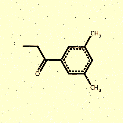 Cc1cc(C)cc(C(=O)CI)c1